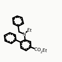 CCOC(=O)c1ccc(-c2ccccc2)c(N(CC)Cc2ccccc2)c1